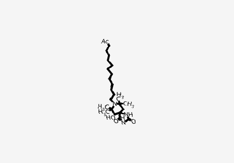 CC(=O)CCCCCCCCCCCCN1C(C)(C)CC2(NC(=O)NC2=O)C(O)C1(C)C